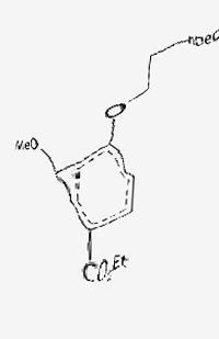 CCCCCCCCCCCCOc1ccc(C(=O)OCC)cc1OC